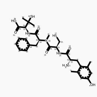 Cc1cc(O)cc(C)c1C[C@H](N)C(=O)N[C@H](CS)C(=O)N(C)[C@@H](Cc1ccccc1)C(=O)N[C@@H](C(=O)O)C(C)(C)S